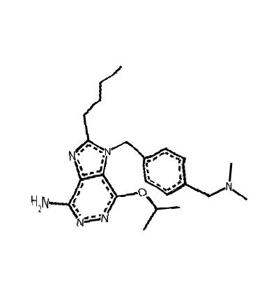 CCCCc1nc2c(N)nnc(OC(C)C)c2n1Cc1ccc(CN(C)C)cc1